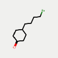 O=C1CCC(CCCCBr)CC1